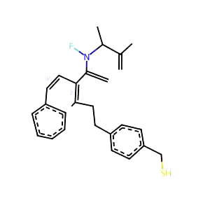 C=C(C)C(C)N(F)C(=C)C(/C=C\c1ccccc1)=C(/C)CCc1ccc(CS)cc1